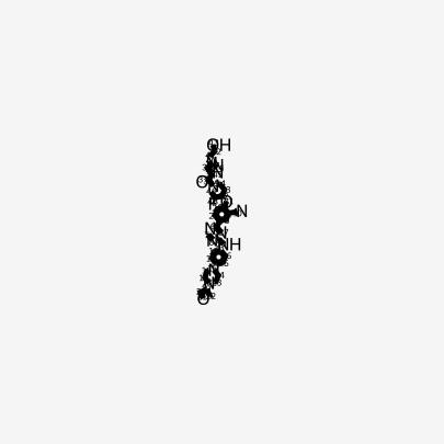 N#Cc1cc(-c2ncnc(Nc3ccc(N4CCN(C5COC5)CC4)cc3)n2)ccc1O[C@H]1CCN(C(=O)c2cn(CCO)nn2)C[C@@H]1F